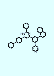 C1=C(c2ccc(-c3ccccc3)cc2)NC(c2ccccc2)N=C1c1cc(-c2ccncc2)cc(-c2cccc3ccccc23)c1